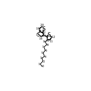 CCCCCCCCCCc1ccsc1-c1csc2ccsc12